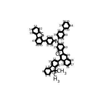 CC1(C)c2ccccc2-c2ccc(-c3c4ccccc4cc4c3oc3cc(N(c5ccc(-c6ccccc6)cc5)c5ccc(-c6cccc7c6sc6ccccc67)cc5)ccc34)cc21